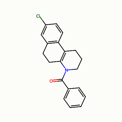 O=C(c1ccccc1)N1CCCC2=C1CCc1cc(Cl)ccc12